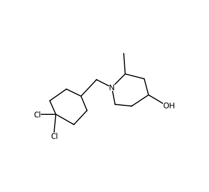 CC1CC(O)CCN1CC1CCC(Cl)(Cl)CC1